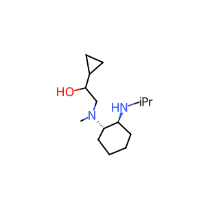 CC(C)N[C@H]1CCCC[C@@H]1N(C)CC(O)C1CC1